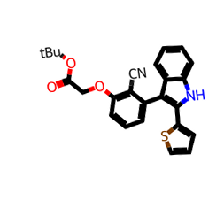 CC(C)(C)OC(=O)COc1cccc(-c2c(-c3cccs3)[nH]c3ccccc23)c1C#N